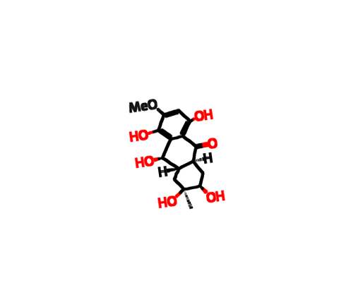 COc1cc(O)c2c(c1O)[C@H](O)[C@H]1C[C@](C)(O)[C@H](O)C[C@@H]1C2=O